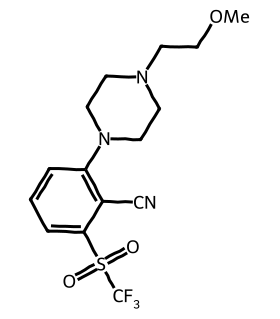 COCCN1CCN(c2cccc(S(=O)(=O)C(F)(F)F)c2C#N)CC1